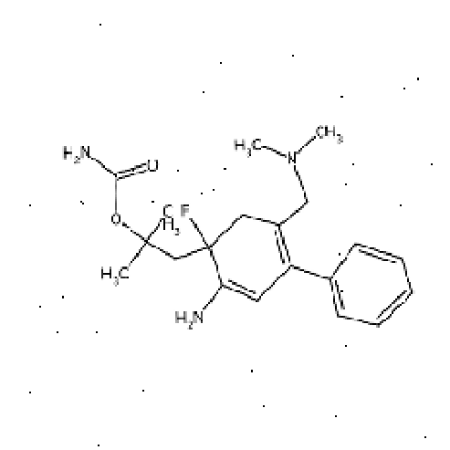 CN(C)CC1=C(c2ccccc2)C=C(N)C(F)(CC(C)(C)OC(N)=O)C1